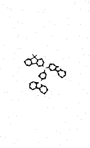 CC1(C)c2ccccc2-c2cc(N(c3ccc(-n4c5ccccc5c5ccccc54)cc3)c3ccc4sc5ccccc5c4c3)ccc21